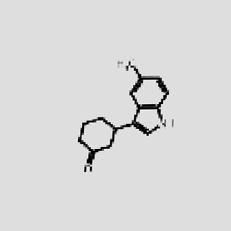 Cc1ccc2[nH]cc(C3CCCC(=O)C3)c2c1